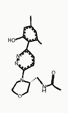 CC(=O)NC[C@@H]1COCCN1c1ccc(-c2c(C)cc(C)cc2O)nn1